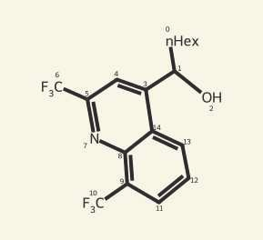 CCCCCCC(O)c1cc(C(F)(F)F)nc2c(C(F)(F)F)cccc12